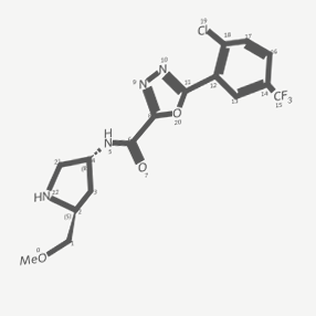 COC[C@@H]1C[C@@H](NC(=O)c2nnc(-c3cc(C(F)(F)F)ccc3Cl)o2)CN1